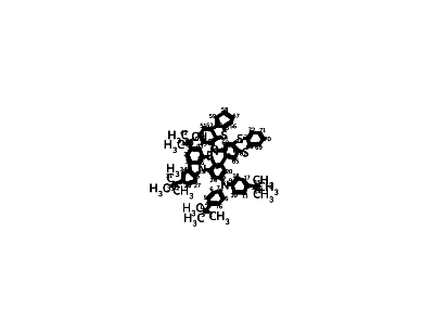 CC(C)(C)c1ccc(N(c2ccc(C(C)(C)C)cc2)c2cc3c4c(c2)-n2c5ccc(C(C)(C)C)cc5c5cc(C(C)(C)C)cc(c52)B4N(c2cccc4c2sc2ccccc24)c2cc4c(cc2-3)Sc2ccccc2S4)cc1